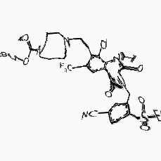 CCS(=O)(=O)c1ccc(C#N)cc1Cn1c(=O)[nH]c2c(Cl)c(CN3CCN(C(=O)OC(C)(C)C)CC3)c(C(F)(F)F)cc2c1=O